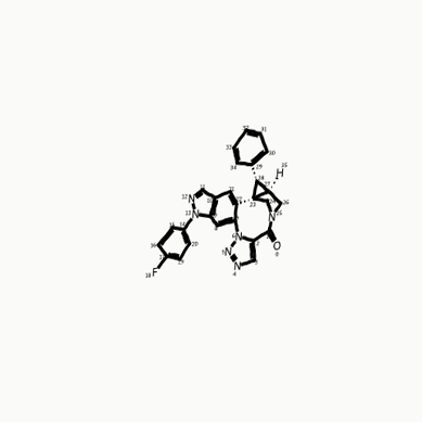 O=C1c2cnnn2-c2cc3c(cnn3-c3ccc(F)cc3)cc2[C@@]23CN1C[C@@H]2[C@H]3c1ccccc1